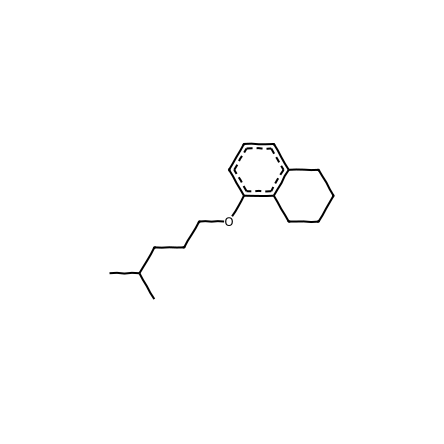 CC(C)CCCOc1cccc2c1CCCC2